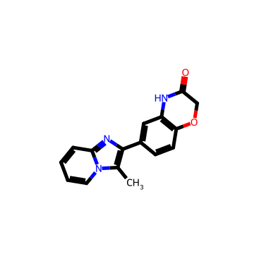 Cc1c(-c2ccc3c(c2)NC(=O)CO3)nc2ccccn12